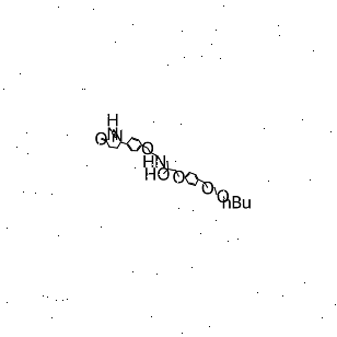 CCCCOCCOCc1ccc(OCC(O)CNCCOc2ccc(C3=NNC(=O)CC3)cc2)cc1